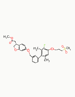 COC(=O)C[C@@H]1COc2cc(OCc3cccc(-c4c(C)cc(OCCCS(C)(=O)=O)c(F)c4C)c3)ccc21